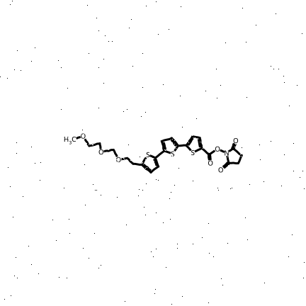 COCCOCOCCc1ccc(-c2ccc(-c3ccc(C(=O)ON4C(=O)CCC4=O)s3)s2)s1